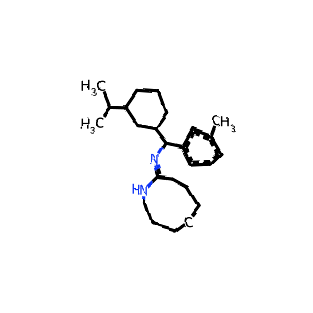 Cc1cccc(C(N=C2CCCCCCCN2)C2CCCC(C(C)C)C2)c1